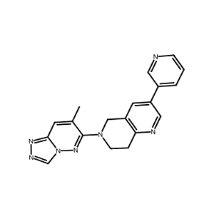 Cc1cc2nncn2nc1N1CCc2ncc(-c3cccnc3)cc2C1